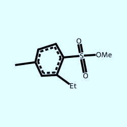 CCc1cc(C)ccc1S(=O)(=O)OC